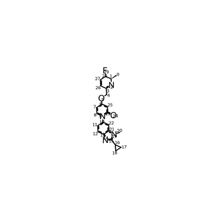 C[C@H]1N=C(COc2ccn(-c3ccc4nc(C5CC5)n(C)c4c3)c(=O)c2)C=CC1F